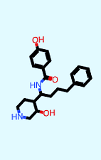 O=C(NC(CCCc1ccccc1)C1CCNCC1O)c1ccc(O)cc1